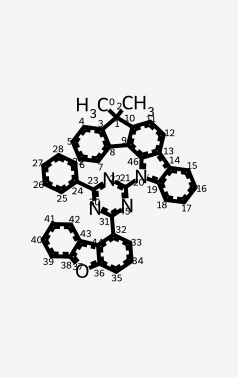 CC1(C)c2ccccc2-c2c1ccc1c3ccccc3n(-c3nc(-c4ccccc4)nc(-c4cccc5oc6ccccc6c45)n3)c21